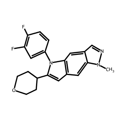 Cn1ncc2cc3c(cc(C4CCOCC4)n3-c3ccc(F)c(F)c3)cc21